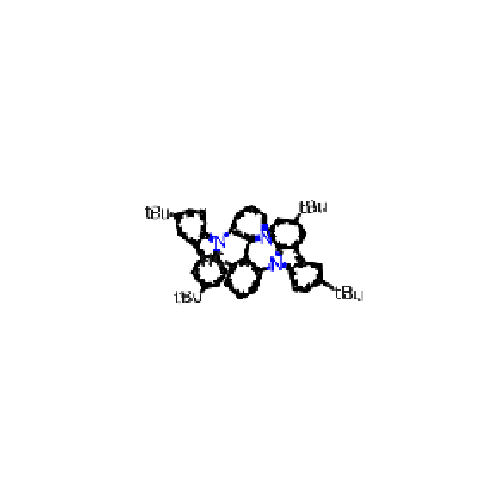 CC(C)(C)c1ccc2c(c1)c1cc(C(C)(C)C)ccc1n2-c1cccnc1-c1c(C#N)cccc1-n1c2ccc(C(C)(C)C)cc2c2cc(C(C)(C)C)ccc21